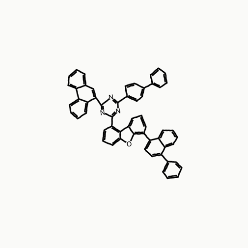 c1ccc(-c2ccc(-c3nc(-c4cc5ccccc5c5ccccc45)nc(-c4cccc5oc6c(-c7ccc(-c8ccccc8)c8ccccc78)cccc6c45)n3)cc2)cc1